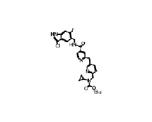 CC(C)(C)OC(=O)N(Cc1ccc(Cc2cc(C(=O)NCc3cc4c(Cl)c[nH]c4cc3F)ccn2)cn1)C1CC1